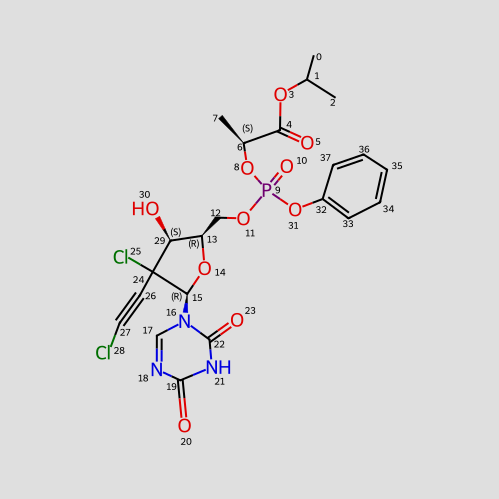 CC(C)OC(=O)[C@H](C)OP(=O)(OC[C@H]1O[C@@H](n2cnc(=O)[nH]c2=O)C(Cl)(C#CCl)[C@H]1O)Oc1ccccc1